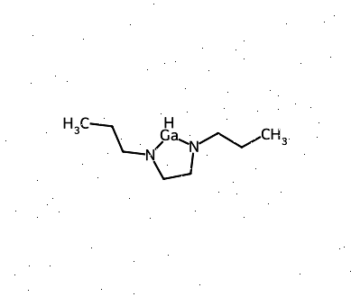 CCC[N]1CC[N](CCC)[GaH]1